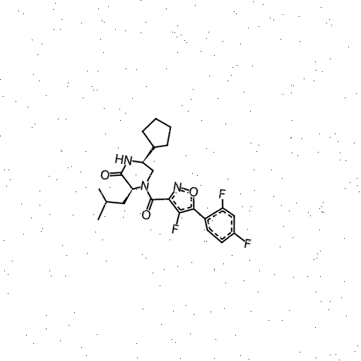 CC(C)C[C@H]1C(=O)N[C@@H](C2CCCC2)CN1C(=O)c1noc(-c2ccc(F)cc2F)c1F